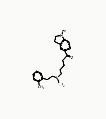 CC(=O)N1CCc2cc(C(=O)CCCCN(C)CCc3ccccc3C)ccc21